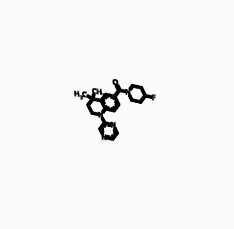 CC1(C)CCN(c2cnccn2)c2ccc(C(=O)N3CCC(F)CC3)cc21